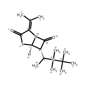 CC(C)=C1C(=O)S[C@@H]2[C@@H](C(C)[Si](C)(C)C(C)(C)C)C(=O)N12